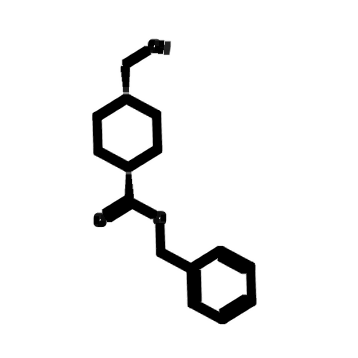 O=C(OCc1ccccc1)[C@H]1CC[C@@H](CO)CC1